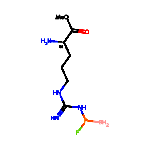 BP(F)NC(=N)NCCC[C@H](N)C(=O)OC